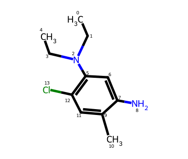 CCN(CC)c1cc(N)c(C)cc1Cl